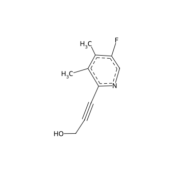 Cc1c(F)cnc(C#CCO)c1C